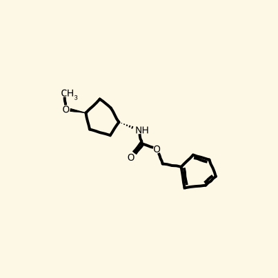 CO[C@H]1CC[C@H](NC(=O)OCc2ccccc2)CC1